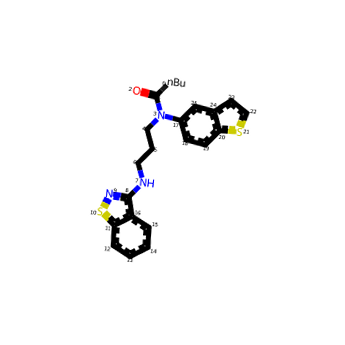 CCCCC(=O)N(CCCNc1nsc2ccccc12)c1ccc2sccc2c1